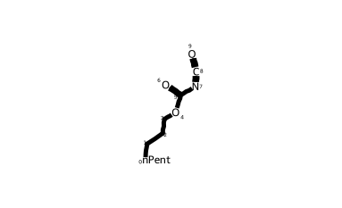 CCCCCCCCOC(=O)N=C=O